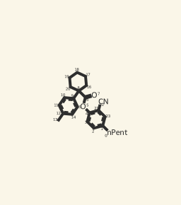 CCCCCc1ccc(OC(=O)C2(c3ccc(C)cc3)CCCCC2)c(C#N)c1